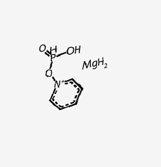 O=[PH](O)O[n+]1ccccc1.[MgH2]